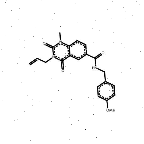 C=CCn1c(=O)c2cc(C(=O)NCc3ccc(OC)cc3)ccc2n(C)c1=O